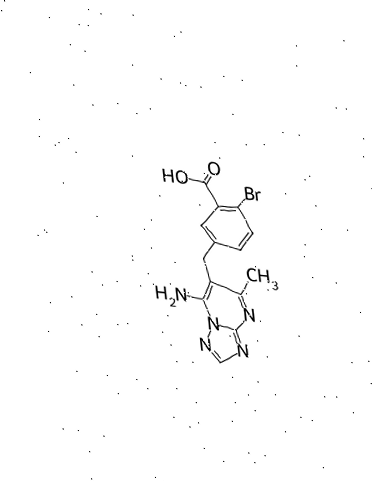 Cc1nc2ncnn2c(N)c1Cc1ccc(Br)c(C(=O)O)c1